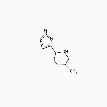 CC1CCC(c2cc[nH]n2)NC1